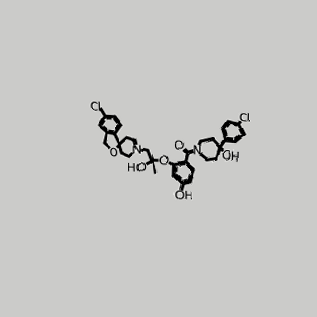 C[C@@](O)(CN1CCC2(CC1)OCc1cc(Cl)ccc12)Oc1cc(O)ccc1C(=O)N1CCC(O)(c2ccc(Cl)cc2)CC1